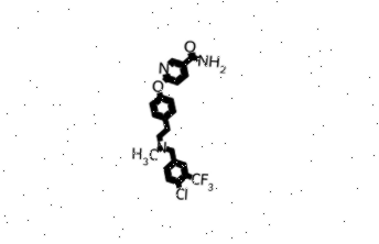 CN(CCc1ccc(Oc2ccc(C(N)=O)cn2)cc1)Cc1ccc(Cl)c(C(F)(F)F)c1